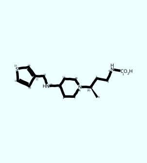 C[C@H](CCNC(=O)O)N1CCC(NCc2ccsc2)CC1